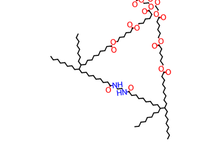 C=CC(=O)OCCOC(=O)CCCCCOC(=O)CCCCCOC(=O)CCCCCCCCC(CCCCCCCC)C(CCCCCCCC)CCCCCCCCC(=O)NCCNC(=O)CCCCCCCCC(CCCCCCCC)C(CCCCCCCC)CCCCCCCCC(=O)OCCCCCC(=O)OCCCCCC(=O)OCCOC(=O)CC